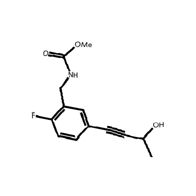 COC(=O)NCc1cc(C#CC(C)O)ccc1F